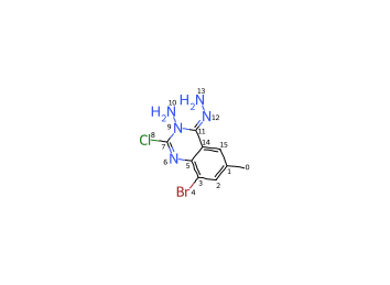 Cc1cc(Br)c2nc(Cl)n(N)/c(=N\N)c2c1